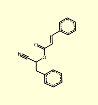 N#CC(Cc1ccccc1)OC(=O)C=Cc1ccccc1